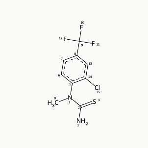 CN(C(N)=S)c1ccc(C(F)(F)F)cc1Cl